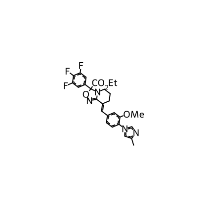 CCOC(=O)C1(c2cc(F)c(F)c(F)c2)ON=C2/C(=C/c3ccc(-n4cnc(C)c4)c(OC)c3)CCCN21